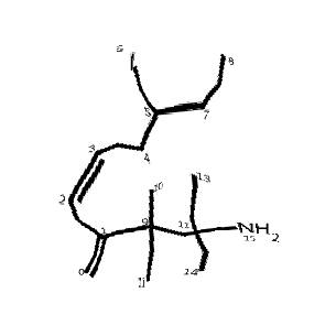 C=C(/C=C\CC(I)CC)C(C)(C)C(C)(C)N